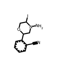 N#Cc1ccccc1C1CN(N)C(I)CO1